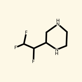 FC(F)C(F)C1CNCCN1